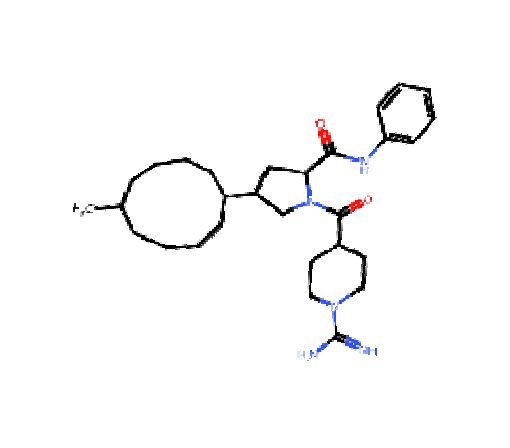 CC1CCCCC(C2CC(C(=O)Nc3ccccc3)N(C(=O)C3CCN(C(=N)N)CC3)C2)CCCC1